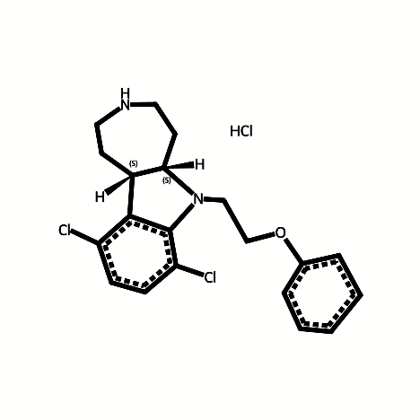 Cl.Clc1ccc(Cl)c2c1[C@@H]1CCNCC[C@@H]1N2CCOc1ccccc1